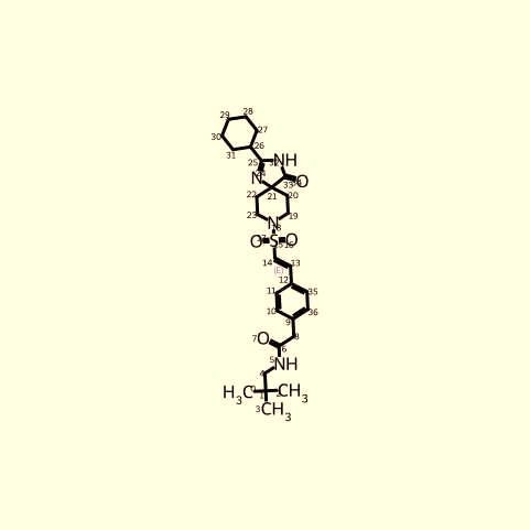 CC(C)(C)CNC(=O)Cc1ccc(/C=C/S(=O)(=O)N2CCC3(CC2)N=C(C2CCCCC2)NC3=O)cc1